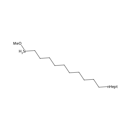 CCCCCCCCCCCCCCCCC[SiH2]OC